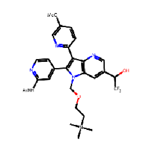 COc1ccc(-c2c(-c3ccnc(NC(C)=O)c3)n(COCC[Si](C)(C)C)c3cc(C(O)C(F)(F)F)cnc23)nc1